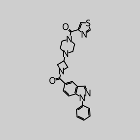 O=C(c1ccc2c(cnn2-c2ccccc2)c1)N1CC(N2CCN(C(=O)c3cscn3)CC2)C1